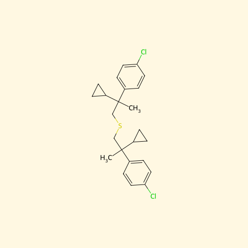 CC(CSCC(C)(c1ccc(Cl)cc1)C1CC1)(c1ccc(Cl)cc1)C1CC1